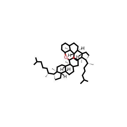 CC(C)CCC[C@@H](C)[C@H]1CC[C@H]2[C@@H]3CCC4CCCC(OC5CCCC6CC[C@@H]7[C@H](CC[C@]8(C)[C@@H]([C@H](C)CCCC(C)C)CC[C@@H]78)[C@]65C)[C@]4(C)[C@H]3CC[C@]12C